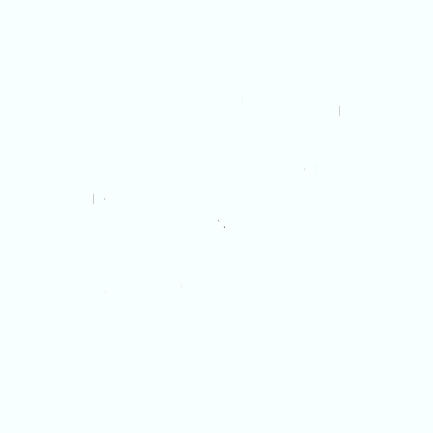 C=C(SC)C(=C)c1ccc([Si](C)(C)C)cn1